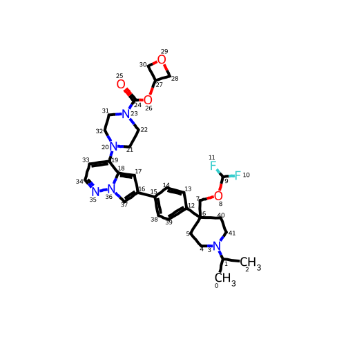 CC(C)N1CCC(COC(F)F)(c2ccc(-c3cc4c(N5CCN(C(=O)OC6COC6)CC5)ccnn4c3)cc2)CC1